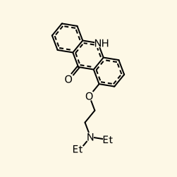 CCN(CC)CCOc1cccc2[nH]c3ccccc3c(=O)c12